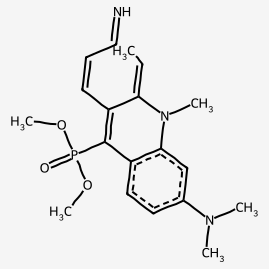 C/C=C1\C(/C=C\C=N)=C(P(=O)(OC)OC)c2ccc(N(C)C)cc2N1C